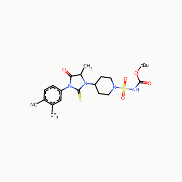 CC1C(=O)N(c2ccc(C#N)c(C(F)(F)F)c2)C(=S)N1C1CCN(S(=O)(=O)NC(=O)OC(C)(C)C)CC1